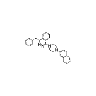 c1ccc(Cc2nnc(N3CCN(c4ccc5ccccc5c4)CC3)c3ccccc23)cc1